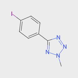 Cn1nnc(-c2ccc(I)cc2)n1